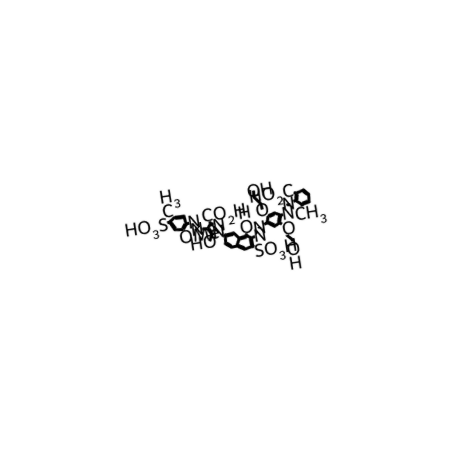 COc1cc(S(=O)(=O)O)c(C)cc1/N=N/c1c(C(=O)O)nn(-c2ccc3cc(S(=O)(=O)O)c(/N=N/c4cc(OCCO)c(/N=N/c5c(C)cccc5C(=O)O)cc4OCCO)c(O)c3c2)c1O